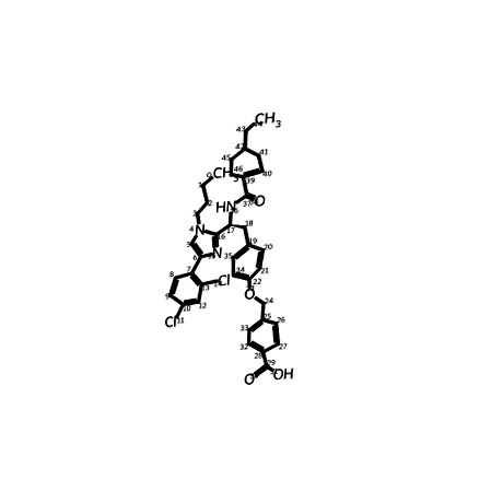 CCCCn1cc(-c2ccc(Cl)cc2Cl)nc1[C@H](Cc1ccc(OCc2ccc(C(=O)O)cc2)cc1)NC(=O)C1=CCC(CC)CC1